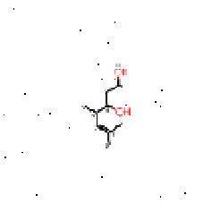 CC(C)=CC(C)C(O)CCO